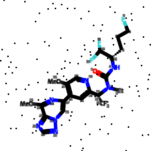 CCN(C(=O)N[C@@H](CCCF)C(F)F)[C@@H](c1cc(-c2cn3ncnc3c(OC)n2)c(OC)cn1)C(F)(F)F